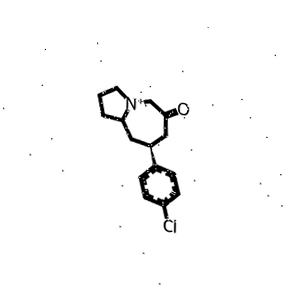 O=C1C[C@@H](c2ccc(Cl)cc2)CC2CCC[N+]2C1